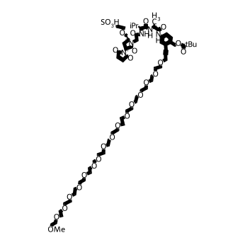 COCCOCCOCCOCCOCCOCCOCOCCOCCOCCOCCOCCOCCOCCOCCOCCOCC#Cc1cc(NC(=O)[C@H](C)NC(=O)[C@@H](NC(=O)CN2C(=O)[C@@H](N3C(=O)C=CC3=O)C[C@H]2COCCS(=O)(=O)O)C(C)C)ccc1COC(=O)C(C)(C)C